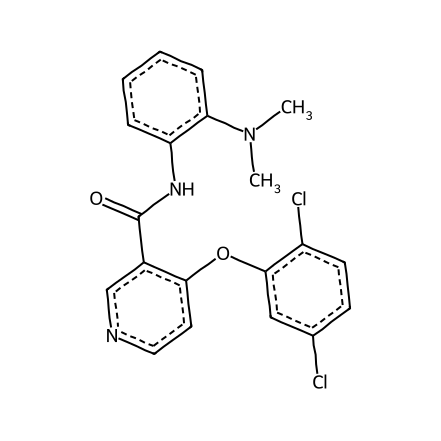 CN(C)c1ccccc1NC(=O)c1cnccc1Oc1cc(Cl)ccc1Cl